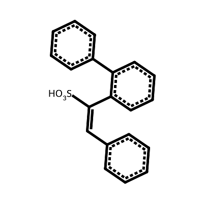 O=S(=O)(O)C(=Cc1ccccc1)c1ccccc1-c1ccccc1